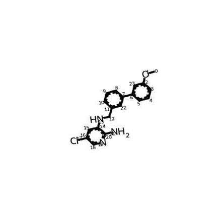 COc1cccc(-c2cccc(CNc3cc(Cl)cnc3N)c2)c1